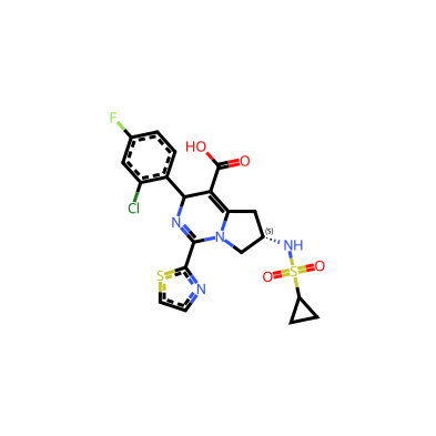 O=C(O)C1=C2C[C@H](NS(=O)(=O)C3CC3)CN2C(c2nccs2)=NC1c1ccc(F)cc1Cl